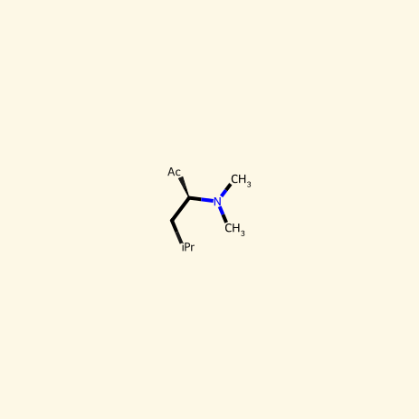 CC(=O)[C@H](CC(C)C)N(C)C